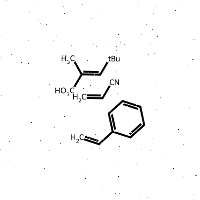 C=CC#N.C=Cc1ccccc1.CC(=CC(C)(C)C)C(=O)O